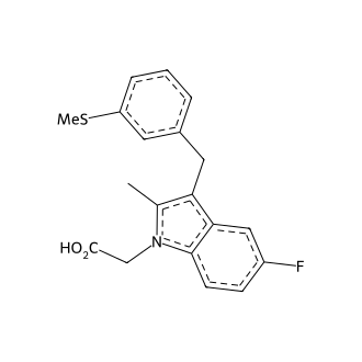 CSc1cccc(Cc2c(C)n(CC(=O)O)c3ccc(F)cc23)c1